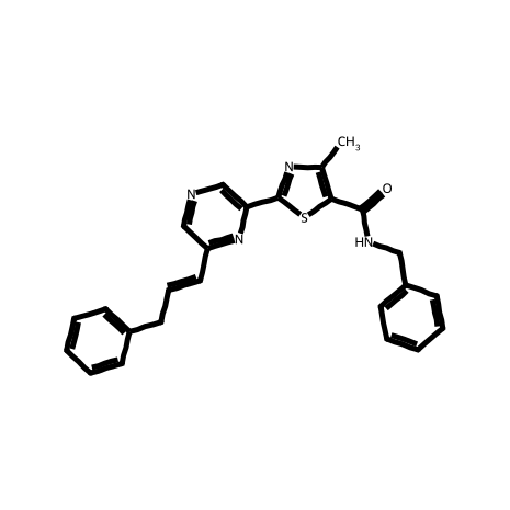 Cc1nc(-c2cncc(C=CCc3ccccc3)n2)sc1C(=O)NCc1ccccc1